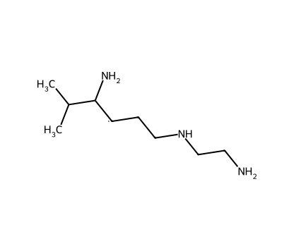 CC(C)C(N)[CH]CCNCCN